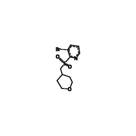 O=S(=O)(CC1CCOCC1)c1ncccc1Br